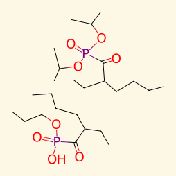 CCCCC(CC)C(=O)P(=O)(O)OCCC.CCCCC(CC)C(=O)P(=O)(OC(C)C)OC(C)C